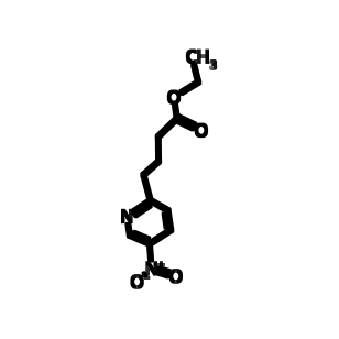 CCOC(=O)CCCc1ccc([N+](=O)[O-])cn1